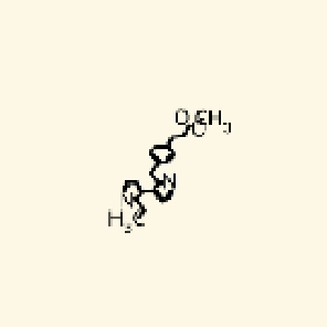 CCc1ncccc1-c1cccnc1Cc1ccc(CCC(=O)OC)cc1